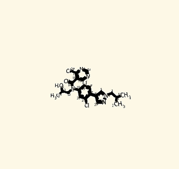 CC(C)Cn1cc(-c2ccc(N(CC(C)O)C(=O)c3c(Cl)ncnc3Cl)cc2Cl)cn1